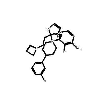 CCc1c(N)ncnc1[N+]1(C2(CCN3CCC3)NC=CN2)CCC(c2cccc(Cl)c2)CC1